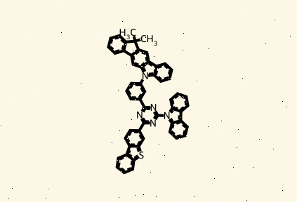 CC1(C)c2ccccc2-c2cc3c(cc21)c1ccccc1n3-c1cccc(-c2nc(-c3ccc4c(c3)sc3ccccc34)nc(-n3c4ccccc4c4ccccc43)n2)c1